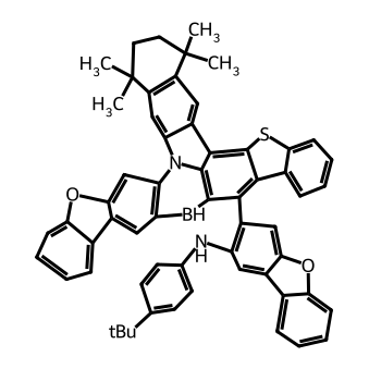 CC(C)(C)c1ccc(Nc2cc3c(cc2-c2c4c5c(c6cc7c(cc6n5-c5cc6oc8ccccc8c6cc5B4)C(C)(C)CCC7(C)C)c4sc5ccccc5c24)oc2ccccc23)cc1